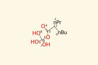 CCCCC(CCC)C(=O)OC(O)(O)O